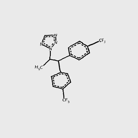 CC(C(c1ccc(C(F)(F)F)cc1)c1ccc(C(F)(F)F)cc1)n1ncnn1